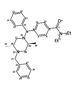 CCN(CC)C(=O)c1ccc(C(c2ccccc2)N2C[C@@H](C)N(Cc3ccccc3)C[C@@H]2C)cc1